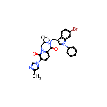 Cc1cn(-c2ccc3n(c2=O)CC(C)N(Cc2cn(-c4ccccc4)c4cc(Br)ccc24)C3=O)cn1